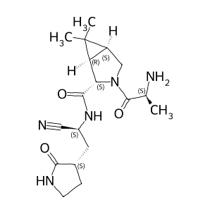 C[C@H](N)C(=O)N1C[C@H]2[C@@H]([C@H]1C(=O)N[C@H](C#N)C[C@@H]1CCNC1=O)C2(C)C